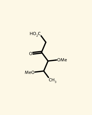 COC(C)C(OC)C(=O)CC(=O)O